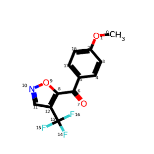 COc1ccc(C(=O)c2oncc2C(F)(F)F)cc1